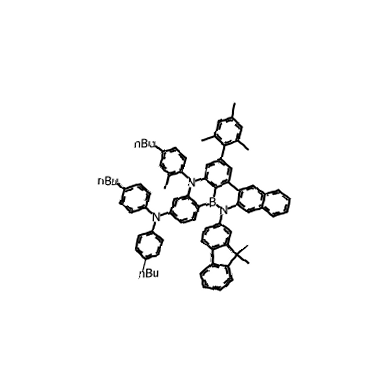 CCCCc1ccc(N(c2ccc(CCCC)cc2)c2ccc3c(c2)N(c2ccc(CCCC)cc2C)c2cc(-c4c(C)cc(C)cc4C)cc4c2B3N(c2ccc3c(c2)C(C)(C)c2ccccc2-3)c2cc3ccccc3cc2-4)cc1